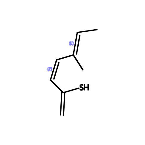 C=C(S)/C=C\C(C)=C\C